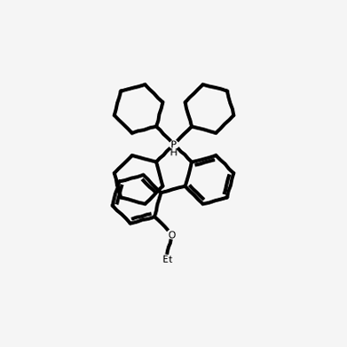 CCOc1ccccc1-c1ccccc1[PH](C1CCCCC1)(C1CCCCC1)C1CCCCC1